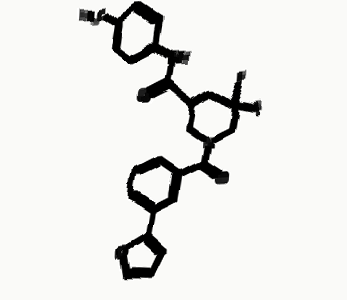 Cc1ccc(NC(=O)C2CN(C(=O)c3cccc(-c4ccco4)c3)CC(F)(F)C2)cc1